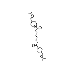 CC(C)OCC1CCN(C(=O)CCCCCCC(=O)N2CCC(COC(C)C)CC2)CC1